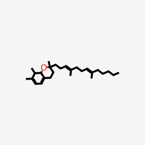 CCCCC/C(C)=C/CC/C(C)=C/CCC1(C)CCC2=CC=C(C)C(C)C2O1